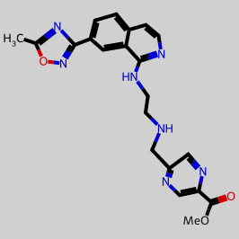 COC(=O)c1cnc(CNCCNc2nccc3ccc(-c4noc(C)n4)cc23)cn1